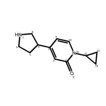 O=c1cc(C2CCNC2)ccn1C1CC1